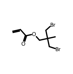 C=CC(=O)OCC(C)(CBr)CBr